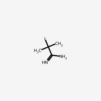 CC(C)(I)C(=N)N